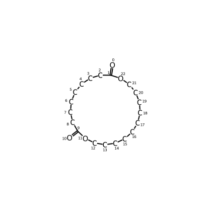 O=C1CCCCCCCC(=O)OCCCCCCCCCCO1